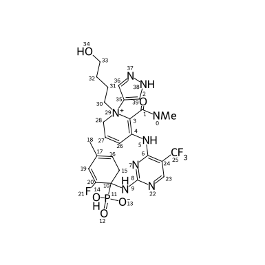 CNC(=O)C1=C(Nc2nc(NC3(P(=O)([O-])O)CC=C(C)C=C3F)ncc2C(F)(F)F)C=CC[N+]1(CCCCO)c1cn[nH]c1